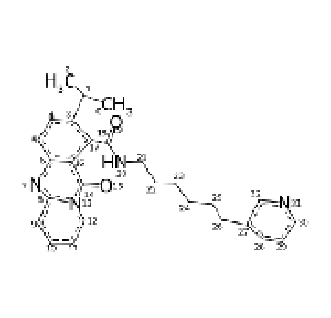 CC(C)c1ccc2nc3ccccn3c(=O)c2c1C(=O)NCCCCCCc1cccnc1